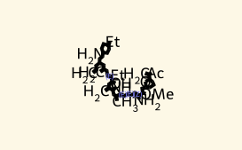 C=CCC(CCC1(N)CCC(CC)CC1)CC(=C)C/C=C(\CC)C(O)CC(=C)C(N)CC(C)/C=C/C=C/C=C(\N)C(CC1CCCC(C(=C)C(C)=O)O1)OC